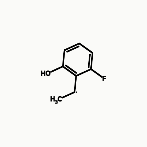 C[CH]c1c(O)cccc1F